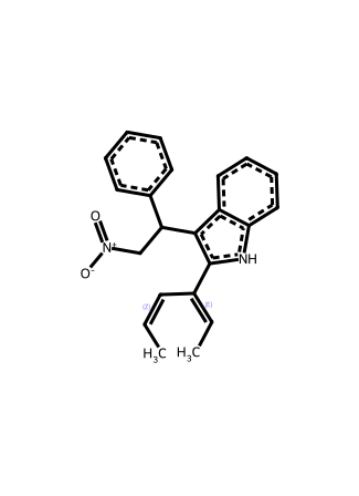 C/C=C\C(=C/C)c1[nH]c2ccccc2c1C(C[N+](=O)[O-])c1ccccc1